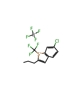 CCCc1cc2ccc(Cl)cc2[s+]1C(F)(F)F.F[B-](F)(F)F